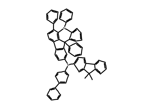 CC1(C)c2ccccc2-c2ccc(N(c3ccc(-c4ccccc4)cc3)c3ccc4c(c3)C3(c5ccccc5)c5ccccc5N(c5ccccc5)c5c(-c6ccccc6)ccc-4c53)cc21